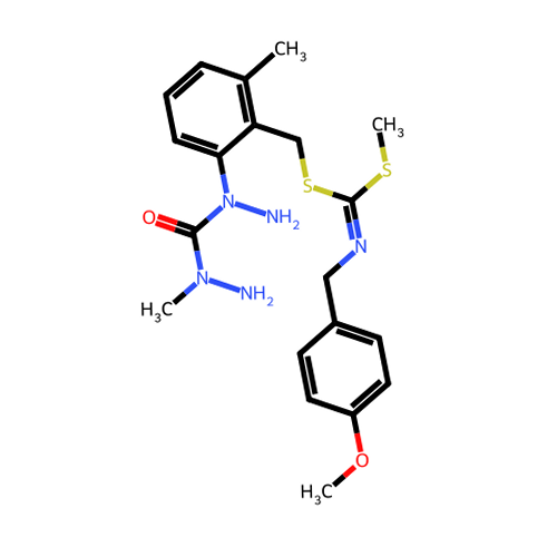 COc1ccc(CN=C(SC)SCc2c(C)cccc2N(N)C(=O)N(C)N)cc1